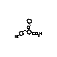 CCc1ccc(Cc2ccc(C(=O)O)cc2OCc2ccccc2)cc1